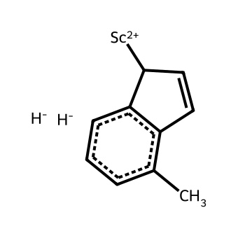 Cc1cccc2c1C=C[CH]2[Sc+2].[H-].[H-]